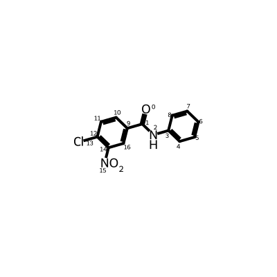 O=C(Nc1ccccc1)c1ccc(Cl)c([N+](=O)[O-])c1